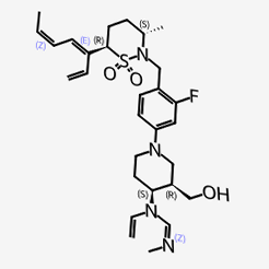 C=C/C(=C\C=C/C)[C@H]1CC[C@H](C)N(Cc2ccc(N3CC[C@H](N(C=C)/C=N\C)[C@H](CO)C3)cc2F)S1(=O)=O